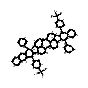 FC(F)(F)c1ccc(-c2c3c(c(-c4ccccc4)c4ccccc24)-c2ccc4c5ccc6c7c(ccc(c8ccc-3c2c84)c75)-c2c-6c(-c3ccc(C(F)(F)F)cc3)c3cc4ccccc4cc3c2-c2ccccc2)cc1